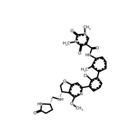 COc1nc(-c2cccc(-c3cccc(NC(=O)c4cn(C)c(=O)n(C)c4=O)c3C)c2Cl)cc2c1[C@H](NC[C@@H]1CCC(=O)N1)CO2